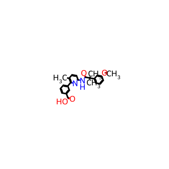 COc1cccc(C(C)(C)C(=O)Nc2ccc(C)c(-c3cccc(C(=O)O)c3)n2)c1